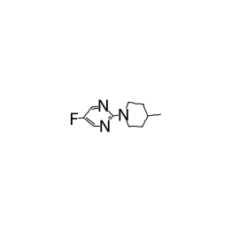 CC1CCN(c2ncc(F)cn2)CC1